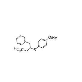 COc1ccc(SC(CC(=O)O)Cc2ccccc2)cc1